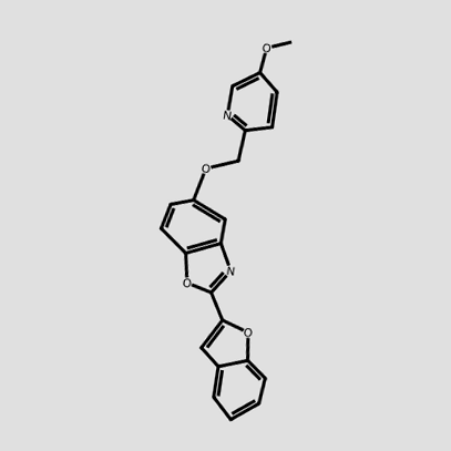 COc1ccc(COc2ccc3oc(-c4cc5ccccc5o4)nc3c2)nc1